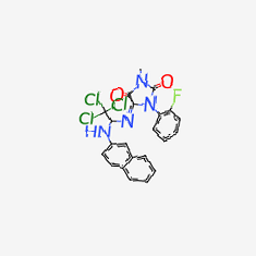 CN1C(=O)C(=NC(Nc2ccc3ccccc3c2)C(Cl)(Cl)Cl)N(c2ccccc2F)C1=O